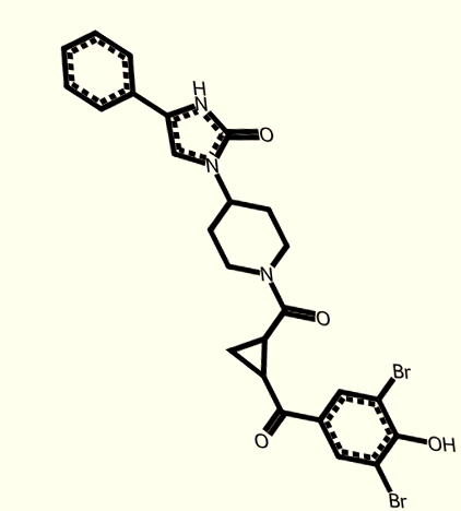 O=C(c1cc(Br)c(O)c(Br)c1)C1CC1C(=O)N1CCC(n2cc(-c3ccccc3)[nH]c2=O)CC1